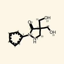 O=C1N(c2ccccc2)NCC1(CO)CO